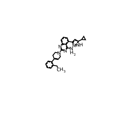 CCc1ccccc1C1=CCN(c2nc(N)c3c(-c4cc(C5CC5)[nH]n4)cccc3n2)CC1